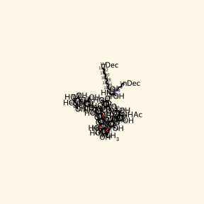 CCCCCCCCCCCCC/C=C/[C@@H](O)[C@H](CO[C@@H]1OC(CO)[C@@H](O[C@@H]2OC(CO[C@@H]3OC(CO)[C@@H](O[C@@H]4OC(CO)[C@H](O)[C@H](O)C4O)[C@H](O)C3NC(C)=O)[C@H](O)[C@H](O[C@@H]3OC(CO)[C@@H](O[C@H]4OC(C)[C@@H](O)C(O)[C@@H]4O)[C@H](O[C@@H]4OC(CO)[C@H](O)[C@H](O[C@]5(C(=O)O)CC(O)[C@@H](NC(C)=O)C([C@H](O)[C@H](O)CO)O5)C4O)C3NC(C)=O)C2O)[C@H](O)C1O)NC(=O)CCCCCCCCCCCCCCCCCCC